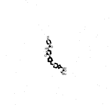 CC(C)(C)OC(=O)NC1CC2(CCN(Cc3ccc(-n4ccc(NC(=O)N5CCNCC5)nc4=O)cc3)CC2)C1